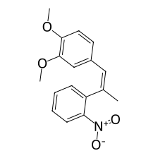 COc1ccc(C=C(C)c2ccccc2[N+](=O)[O-])cc1OC